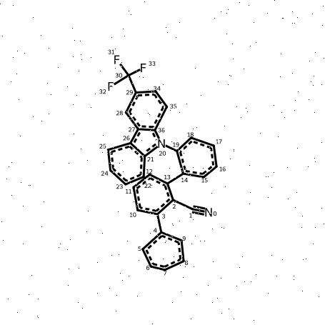 N#Cc1c(-c2ccccc2)cccc1-c1ccccc1-n1c2ccccc2c2cc(C(F)(F)F)ccc21